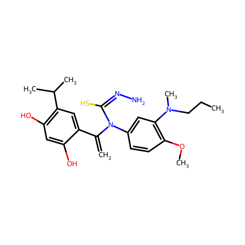 C=C(c1cc(C(C)C)c(O)cc1O)N(/C(S)=N\N)c1ccc(OC)c(N(C)CCC)c1